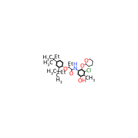 CCC(Oc1ccc(C(C)(C)CC)cc1C(C)(C)CC)C(=O)Nc1cc(O)c(C)c(Cl)c1OC1CCCCO1